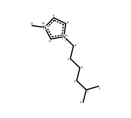 CC(C)CCCC[n+]1ccn(C)c1